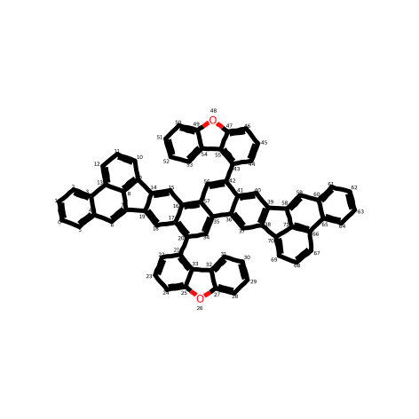 c1ccc2c(c1)cc1c3c(cccc32)-c2cc3c(cc2-1)c(-c1cccc2oc4ccccc4c12)cc1c2cc4c(cc2c(-c2cccc5oc6ccccc6c25)cc31)-c1cc2ccccc2c2cccc-4c12